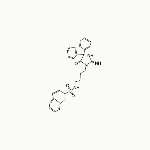 N=C1NC(c2ccccc2)(c2ccccc2)C(=O)N1CCCCNS(=O)(=O)c1ccc2ccccc2c1